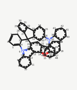 C1=CCC2C(=C1)n1c3ccccc3c3c4oc5ccccc5c4cc(c31)C21c2ccccc2-c2ccc(N(c3ccccc3)c3ccccc3)cc21